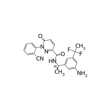 C[C@@H](NC(=O)c1ccc(=O)n(-c2ccccc2C#N)n1)c1cc(N)cc(C(C)(F)F)c1